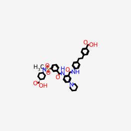 CN([C@H]1CC[C@H](C(=O)O)CC1)S(=O)(=O)c1cccc(C(=O)Nc2ccc(N3CCCCC3)cc2C(=O)Nc2ccc(CCc3ccc(C(=O)O)cc3)cc2)c1